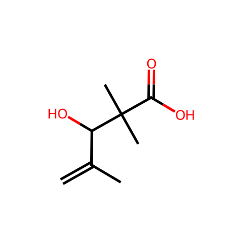 C=C(C)C(O)C(C)(C)C(=O)O